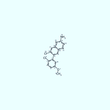 COc1ccc(Cl)c(-c2cc3nnc(N)nc3cc2Cl)c1